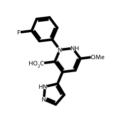 COC1=CC(c2ccn[nH]2)=C(C(=O)O)N(c2cccc(F)c2)N1